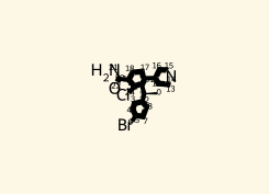 C[C@@H](c1ccc(Br)cc1)c1c(-c2ccncc2)ccc(C(N)=O)c1Cl